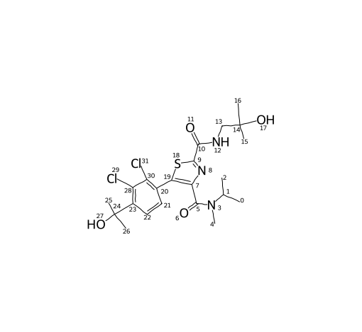 CC(C)N(C)C(=O)c1nc(C(=O)NCC(C)(C)O)sc1-c1ccc(C(C)(C)O)c(Cl)c1Cl